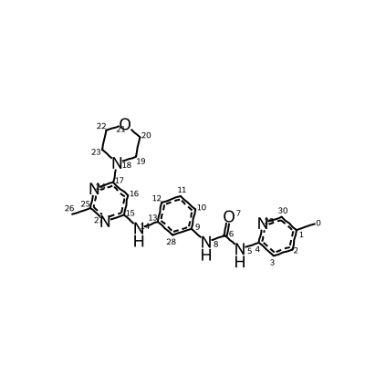 Cc1ccc(NC(=O)Nc2cccc(Nc3cc(N4CCOCC4)nc(C)n3)c2)nc1